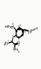 CCCCCc1ccc(OC(CC)C(N)=O)c(CCCCC)c1